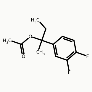 CCC(C)(OC(C)=O)c1ccc(F)c(F)c1